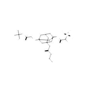 CCCC(=O)CC12CC3CC(OCC(=O)OC(C)(C)C)(C1)CC(OC(=O)C(F)S(=O)(=O)O)(C3)C2